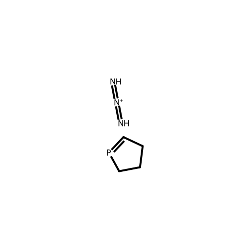 C1=PCCC1.N=[N+]=N